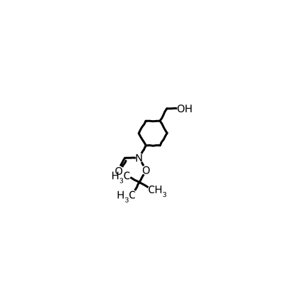 CC(C)(C)ON(C=O)C1CCC(CO)CC1